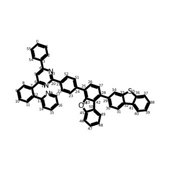 c1ccc(-c2cc(-c3ccccc3-c3ccccn3)nc(-c3ccc(-c4ccc(-c5ccc6c(c5)sc5ccccc56)c5c4oc4ccccc45)cc3)n2)cc1